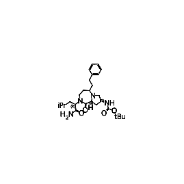 CC(C)C[C@H](C(N)=O)N1CCC(CCc2ccccc2)N2C[C@H](NC(=O)OC(C)(C)C)C[C@H]2C1=O